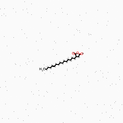 CCCCC=CCCCCCCCCCCC1CC(=O)OC1=O